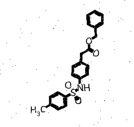 Cc1ccc(S(=O)(=O)Nc2ccc(CC(=O)OCc3ccccc3)cc2)cc1